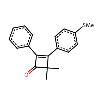 CSc1ccc(C2=C(c3ccccc3)C(=O)C2(C)C)cc1